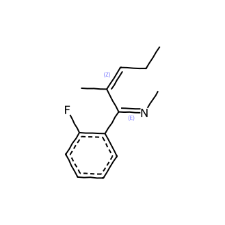 CC/C=C(C)\C(=N/C)c1ccccc1F